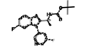 C[C@H](NC(=O)OC(C)(C)C)c1nc2ccc(F)cc2n1-c1cncc(F)c1